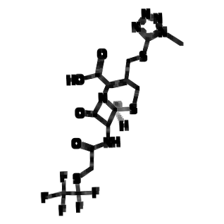 Cn1nnnc1SCC1=C(C(=O)O)N2C(=O)C(NC(=O)CSC(F)(F)C(F)(F)F)[C@@H]2SC1